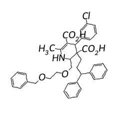 CC1=C(C(=O)O)C(c2cccc(Cl)c2)C(CCC(c2ccccc2)c2ccccc2)(C(=O)O)C(COCCOCc2ccccc2)N1